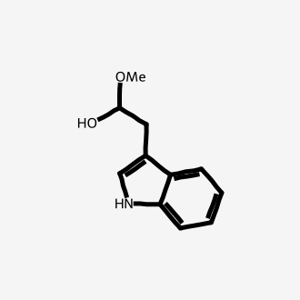 COC(O)Cc1c[nH]c2ccccc12